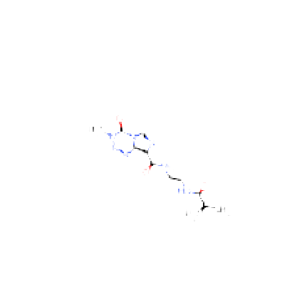 C=C(C)C(=O)NCCNC(=O)c1ncn2c(=O)n(C)nnc12